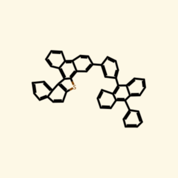 c1ccc(-c2c3ccccc3c(-c3cccc(-c4ccc5c6ccccc6c6c(sc7ccc8ccccc8c76)c5c4)c3)c3ccccc23)cc1